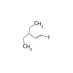 CCC(C=CI)CC